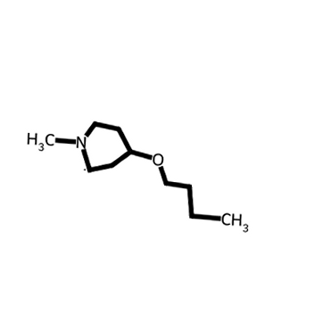 CCCCOC1C[CH]N(C)CC1